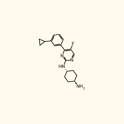 N[C@H]1CC[C@H](Nc2ncc(F)c(-c3cccc(C4CC4)c3)n2)CC1